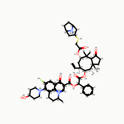 C=C[C@@]1(C)C[C@H](OC(=O)CSC2CC3CCC(C2)N3C)C(C)(C)C2C(=O)CCC2(CCC)[C@H](C)[C@H]1OC(=O)C(OC(=O)c1cn2c3c(c(N4CCC(O)CC4)c(F)cc3c1=O)CCC2C)c1ccccc1